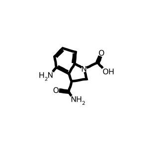 NC(=O)C1CN(C(=O)O)c2cccc(N)c21